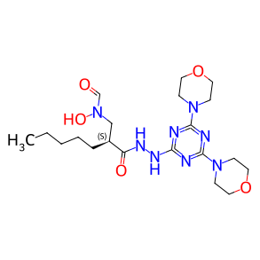 CCCCC[C@@H](CN(O)C=O)C(=O)NNc1nc(N2CCOCC2)nc(N2CCOCC2)n1